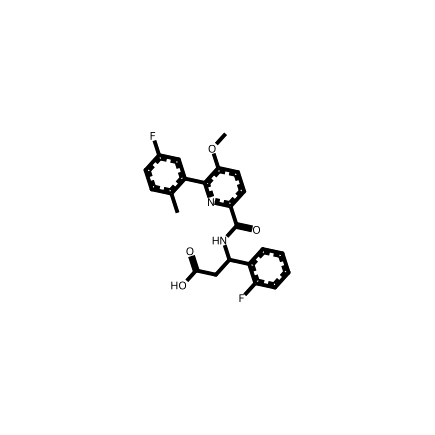 COc1ccc(C(=O)NC(CC(=O)O)c2ccccc2F)nc1-c1cc(F)ccc1C